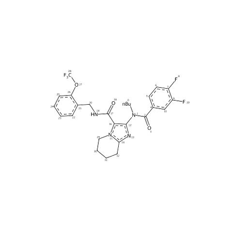 CCCCN(C(=O)c1ccc(F)c(F)c1)c1nc2n(c1C(=O)NCc1ccccc1OC(F)(F)F)CCCC2